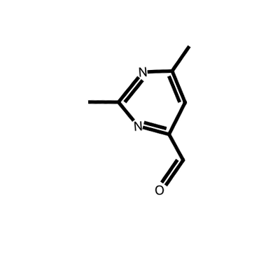 Cc1cc(C=O)nc(C)n1